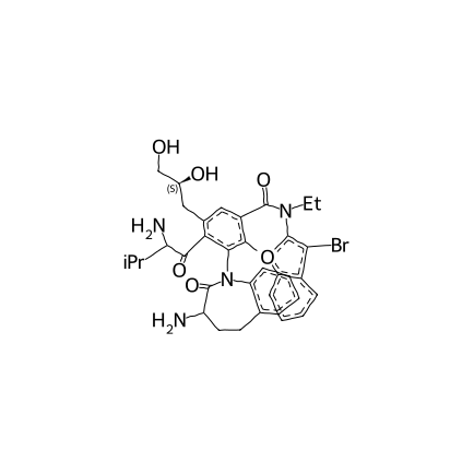 CCN(C(=O)c1cc(C[C@H](O)CO)c(C(=O)C(N)C(C)C)c(N2C(=O)C(N)CCc3ccccc32)c1C)c1oc2ccccc2c1Br